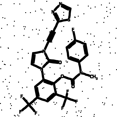 CN(C(=O)Oc1c(-n2ccn(C#Cc3nncs3)c2=O)cc(C(F)(F)F)cc1C(F)(F)F)c1ccc(F)cc1